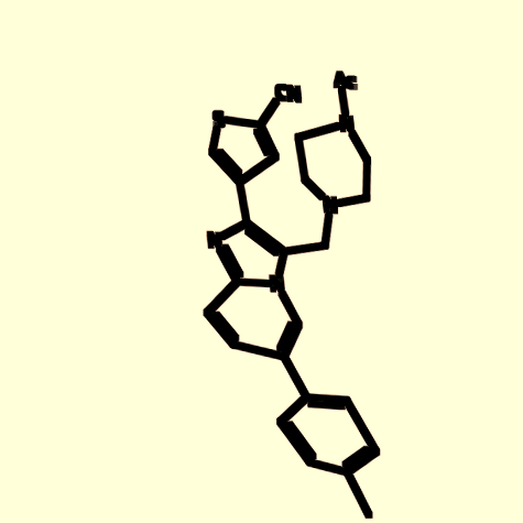 CC(=O)N1CCN(Cc2c(-c3csc(C#N)c3)nc3ccc(-c4ccc(C)cc4)cn23)CC1